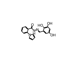 O=C(NN=Cc1cc(O)cc(O)c1O)c1ccccc1-n1cccc1